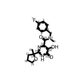 CN(Cc1ccc(F)cc1)C(=O)c1nc(C2(C)CCCO2)[nH]c(=O)c1O